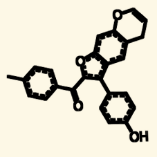 Cc1ccc(C(=O)c2oc3cc4c(cc3c2-c2ccc(O)cc2)CC=CO4)cc1